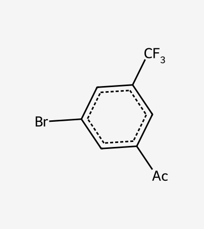 [CH2]C(=O)c1cc(Br)cc(C(F)(F)F)c1